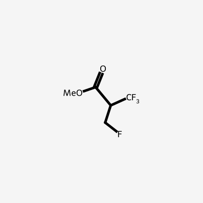 COC(=O)C(CF)C(F)(F)F